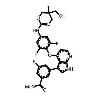 CNC(=O)c1cc(F)cc(-c2c[nH]c3nccc(Oc4c(F)cc(NC5=NCC(C)(CO)CO5)cc4F)c23)c1